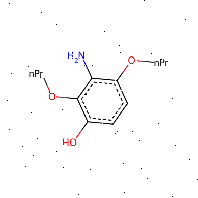 CCCOc1ccc(O)c(OCCC)c1N